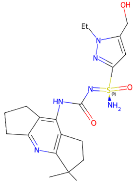 CCn1nc([S@](N)(=O)=NC(=O)Nc2c3c(nc4c2CCC4(C)C)CCC3)cc1CO